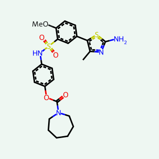 COc1ccc(-c2sc(N)nc2C)cc1S(=O)(=O)Nc1ccc(OC(=O)N2CCCCCC2)cc1